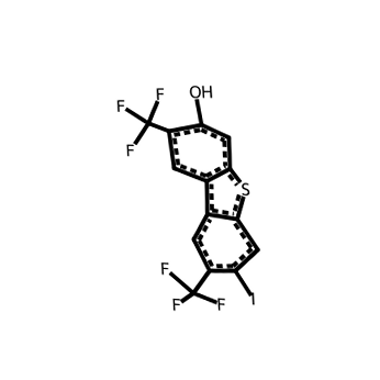 Oc1cc2sc3cc(I)c(C(F)(F)F)cc3c2cc1C(F)(F)F